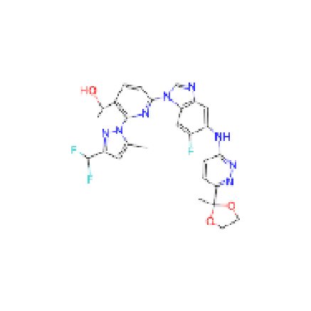 Cc1cc(C(F)F)nn1-c1nc(-n2cnc3cc(Nc4ccc(C5(C)OCCO5)nn4)c(F)cc32)ccc1C(C)O